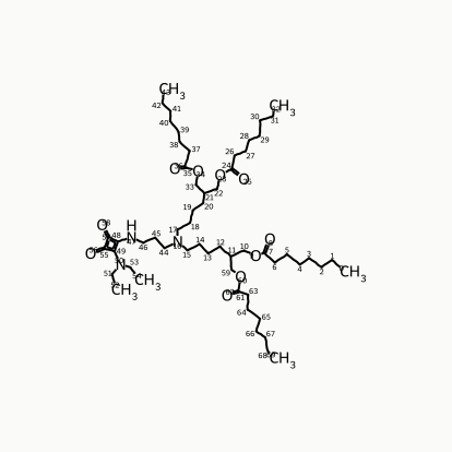 CCCCCCCC(=O)OCC(CCCCN(CCCCC(COC(=O)CCCCCCC)COC(=O)CCCCCCC)CCCNc1c(N(CC)CC)c(=O)c1=O)COC(=O)CCCCCCC